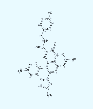 Cn1cc(-c2cnc3c(cc(C(=O)NCc4ccc(Cl)cc4)c(=O)n3CC(=O)O)c2-c2cnc(N)nc2)cn1